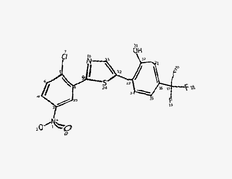 O=[N+]([O-])c1ccc(Cl)c(-c2ncc(-c3ccc(C(F)(F)F)cc3O)s2)c1